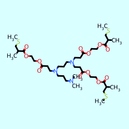 CSCC(C)C(=O)OCCOC(=O)CCN(CCCN(C)C)CCCN(CCC(=O)OCCOC(=O)C(C)CSC)CCC(=O)OCCOC(=O)C(C)CSC